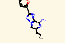 CCCC/C=C/c1cn2nc(-c3ccco3)nc2c(N)n1